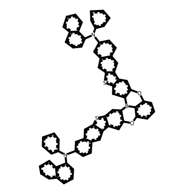 c1ccc(N(c2ccc3cc4c(cc3c2)sc2cc3c(cc24)Oc2cccc4c2B3c2cc3sc5cc6cc(N(c7ccccc7)c7cccc8ccccc78)ccc6cc5c3cc2O4)c2cccc3ccccc23)cc1